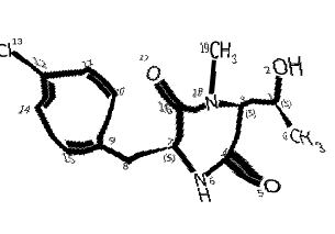 C[C@H](O)[C@H]1C(=O)N[C@@H](Cc2ccc(Cl)cc2)C(=O)N1C